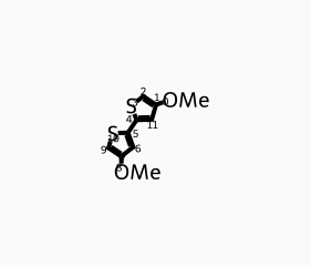 COc1csc(-c2cc(OC)cs2)c1